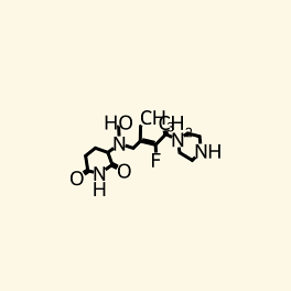 C=C(/C(F)=C(\CC)CN(CO)C1CCC(=O)NC1=O)N1CCNCC1